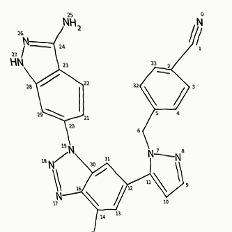 N#Cc1ccc(Cn2nccc2-c2cc(F)c3nnn(-c4ccc5c(N)n[nH]c5c4)c3c2)cc1